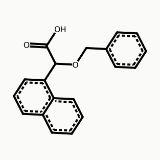 O=C(O)C(OCc1ccccc1)c1cccc2ccccc12